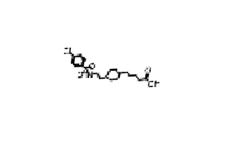 O=C(O)CCCCC1CCC(CCNS(=O)(=O)c2ccc(Cl)cc2)CC1